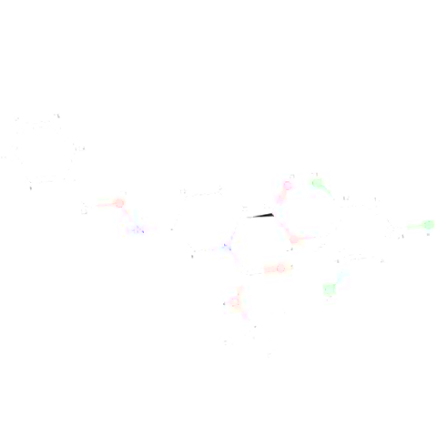 CC(C)(C)OC(=O)N1C[C@H](NOCc2ccccc2)CC[C@H]1C(=O)Oc1c(Cl)cc(Cl)cc1Cl